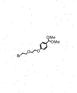 COC(OC)c1ccc(OCCOCCBr)cc1